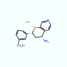 CCOC(=O)c1cccc([C@H]2C[C@@H](N)c3ccncc3O2)c1.Cl